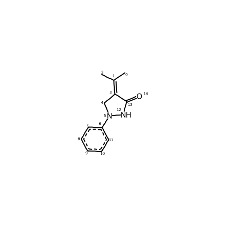 CC(C)=C1CN(c2ccccc2)NC1=O